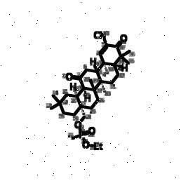 [C-]#[N+]C1=C[C@]2(C)[C@H]3CC(=O)[C@@H]4[C@@H]5CC(C)(C)CC[C@]5(COP(C)(=O)OCC)CC[C@@]4(C)[C@]3(C)CC[C@H]2C(C)(C)C1=O